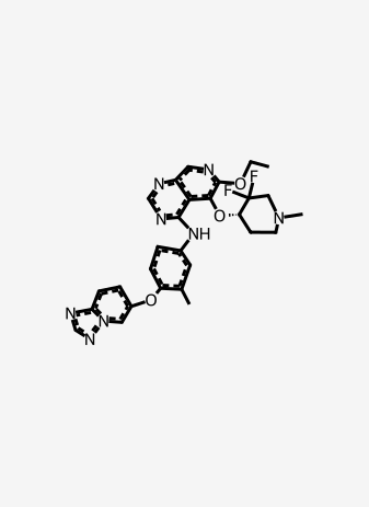 CCOc1ncc2ncnc(Nc3ccc(Oc4ccc5ncnn5c4)c(C)c3)c2c1O[C@H]1CCN(C)CC1(F)F